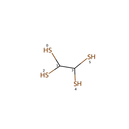 SC(S)C(S)S